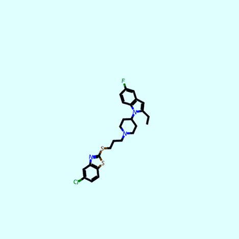 CCc1cc2cc(F)ccc2n1C1CCN(CCCSc2nc3cc(Cl)ccc3s2)CC1